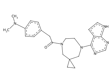 CN(C)c1ccc(CC(=O)N2CCN(c3ncnc4[nH]ccc34)CC3(CC3)C2)cc1